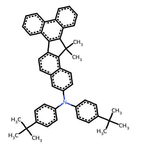 CC(C)(C)c1ccc(N(c2ccc(C(C)(C)C)cc2)c2ccc3c4c(ccc3c2)-c2c(c3ccccc3c3ccccc23)C4(C)C)cc1